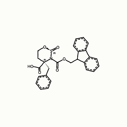 O=C(OCC1c2ccccc2-c2ccccc21)N1[S@](=O)OCC[C@]1(Cc1ccccc1)C(=O)O